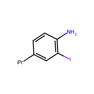 CC(C)c1ccc(N)c(I)c1